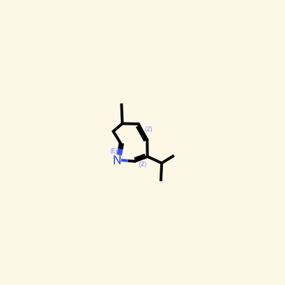 CC1\C=C/C(C(C)C)=C\N=C\C1